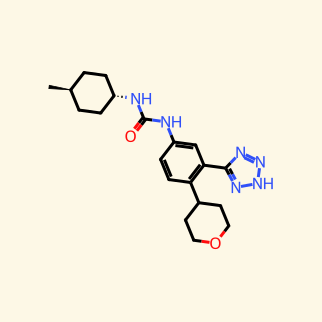 C[C@H]1CC[C@H](NC(=O)Nc2ccc(C3CCOCC3)c(-c3nn[nH]n3)c2)CC1